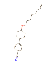 C=CCCCCCCOC1CCC(c2ccc(C#N)cc2)CC1